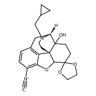 [C-]#[N+]c1ccc2c3c1OC1C4(CCC5(O)[C@@H](C2)N(CC2CC2)CC[C@]315)OCCO4